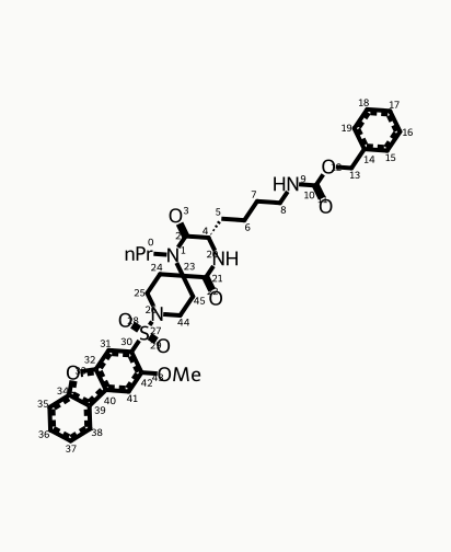 CCCN1C(=O)[C@H](CCCCNC(=O)OCc2ccccc2)NC(=O)C12CCN(S(=O)(=O)c1cc3oc4ccccc4c3cc1OC)CC2